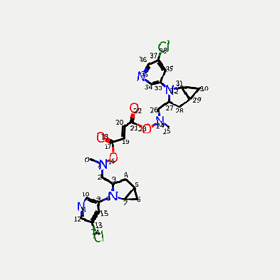 CN(CC1CC2CC2N1c1cncc(Cl)c1)OC(=O)/C=C/C(=O)ON(C)CC1CC2CC2N1c1cncc(Cl)c1